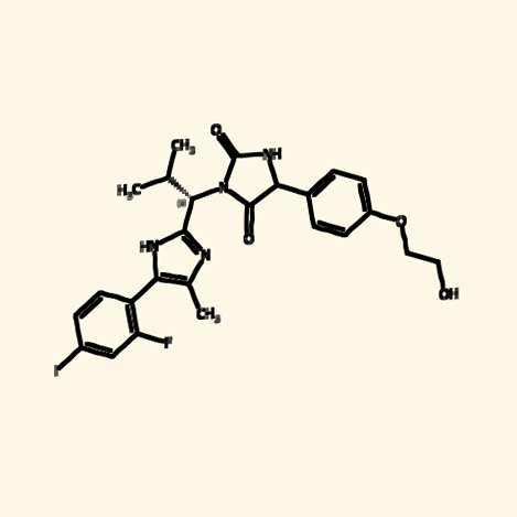 Cc1nc([C@H](C(C)C)N2C(=O)NC(c3ccc(OCCO)cc3)C2=O)[nH]c1-c1ccc(I)cc1F